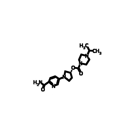 CC(C)N1CCN(C(=O)O[C@@H]2CCN(c3ccc(C(N)=O)nc3)C2)CC1